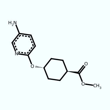 COC(=O)[C@H]1CC[C@H](Oc2ccc(N)cn2)CC1